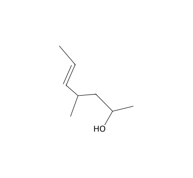 CC=CC(C)CC(C)O